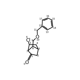 O=C1CC2CC(Cl)C1C2COCc1ccccc1